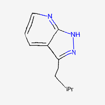 CC(C)Cc1n[nH]c2ncccc12